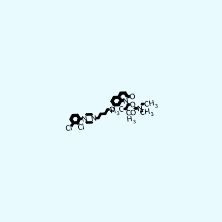 CCN(C)C(=O)OC(C(C)C)n1c(=O)ccc2ccc(OCCCCN3CCN(c4cccc(Cl)c4Cl)CC3)cc21